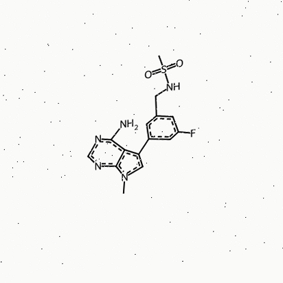 Cn1cc(-c2cc(F)cc(CNS(C)(=O)=O)c2)c2c(N)ncnc21